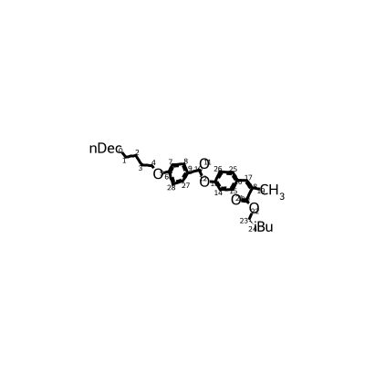 CCCCCCCCCCCCCCOc1ccc(C(=O)Oc2ccc(C=C(C)C(=O)OC[C@@H](C)CC)cc2)cc1